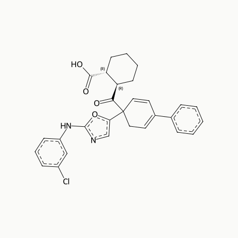 O=C(O)[C@@H]1CCCC[C@H]1C(=O)C1(c2cnc(Nc3cccc(Cl)c3)o2)C=CC(c2ccccc2)=CC1